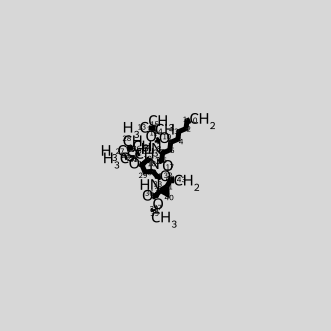 C=CCCCCCC(NC(=O)OC(C)(C)C)C(=O)N1CC(O[Si](C)(C)C(C)(C)C)CC1C(=O)NC1(C(=O)OCC)CC1C=C